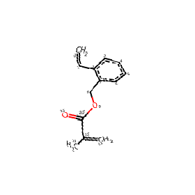 C=Cc1ccccc1COC(=O)C(=C)C